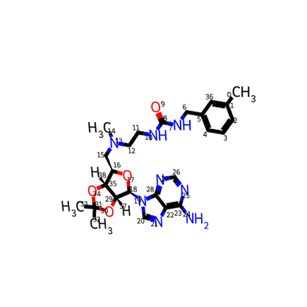 Cc1cccc(CNC(=O)NCCN(C)C[C@H]2O[C@@H](n3cnc4c(N)ncnc43)[C@@H]3OC(C)(C)O[C@@H]32)c1